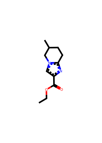 CCOC(=O)c1cn2c(n1)CCC(C)C2